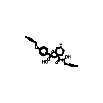 CC#CCOc1ccc(S(=O)(=O)CC2(C(=O)N(O)CC#CC)CCNCC2)cc1.Cl